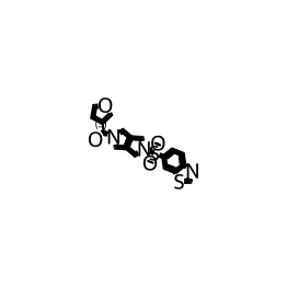 O=C([C@H]1CCOC1)N1CC2=C(C1)CN(S(=O)(=O)c1ccc3ncsc3c1)C2